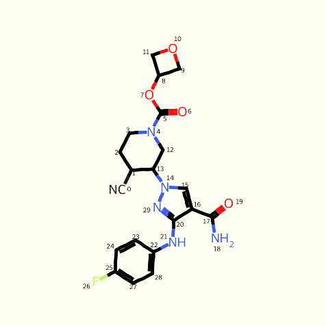 N#CC1CCN(C(=O)OC2COC2)CC1n1cc(C(N)=O)c(Nc2ccc(F)cc2)n1